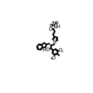 COc1cc([C@@H](O)[C@@H](CC2Cc3ccccc3C2)Cn2ccc(CCC(=O)NS(C)(=O)=O)c2)cc(OC)c1C